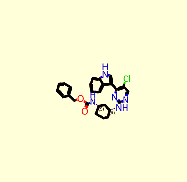 O=C(N[C@H]1CCC[C@@H](Nc2ncc(Cl)c(-c3c[nH]c4ccccc34)n2)C1)OCc1ccccc1